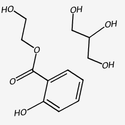 O=C(OCCO)c1ccccc1O.OCC(O)CO